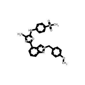 COc1ccc(Cn2cc3c(-c4nc(N)c(Nc5ccc(S(C)(=O)=O)cc5)o4)cccc3n2)cc1